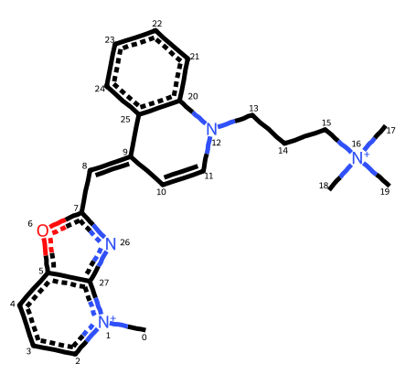 C[n+]1cccc2oc(/C=C3\C=CN(CCC[N+](C)(C)C)c4ccccc43)nc21